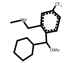 CBCc1cc(C(F)(F)F)ccc1C(OC)C1CCCCC1